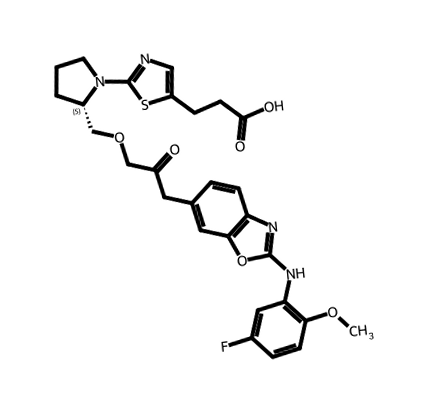 COc1ccc(F)cc1Nc1nc2ccc(CC(=O)COC[C@@H]3CCCN3c3ncc(CCC(=O)O)s3)cc2o1